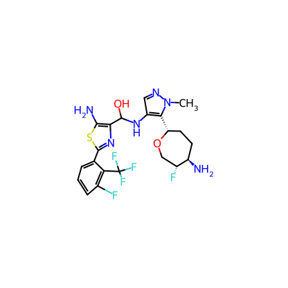 Cn1ncc(NC(O)c2nc(-c3cccc(F)c3C(F)(F)F)sc2N)c1[C@@H]1CC[C@@H](N)[C@H](F)CO1